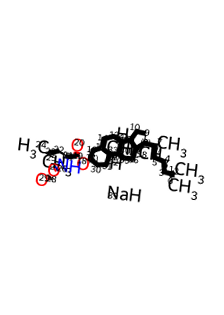 CC(C)CCC[C@@H](C)[C@H]1CC[C@H]2[C@@H]3CC=C4C[C@@H](OC(=O)[C@H](CC(C)C)NOC=O)CC[C@]4(C)[C@H]3CC[C@]12C.[NaH]